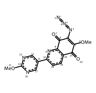 COC1=C(N=[N+]=[N-])C(=O)c2nc(-c3cnc(OC)nc3)ccc2C1=O